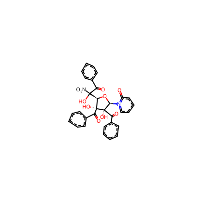 O=C(c1ccccc1)C(O)([C@H]1O[C@@H](n2ccccc2=O)[C@@](O)(C(=O)c2ccccc2)[C@@]1(O)C(=O)c1ccccc1)[N+](=O)[O-]